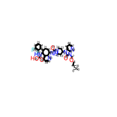 C[Si](C)(C)CCOCn1c(=O)n(C2CCN(C(=O)N[C@@H]3CC[C@H](c4cccc(F)c4F)[C@H](NC(=O)O)c4cccnc43)CC2)c2cccnc21